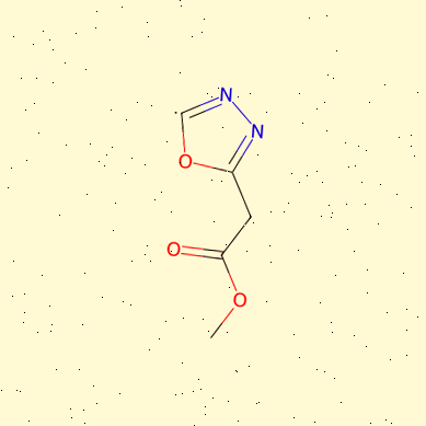 COC(=O)Cc1nn[c]o1